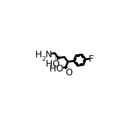 NC[C@H](O)CC(C(=O)O)c1ccc(F)cc1